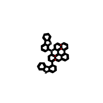 c1ccc(-c2cccc3cccc(-c4ccccc4N(c4ccc(-c5cccc6sc7ccccc7c56)cc4)c4cccc5c4sc4ccccc45)c23)cc1